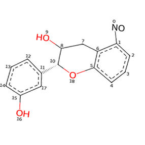 O=Nc1cccc2c1CC(O)[C@@H](c1cccc(O)c1)O2